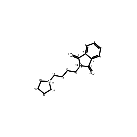 O=C1c2ccccc2C(=O)N1CCCCN1CCCC1